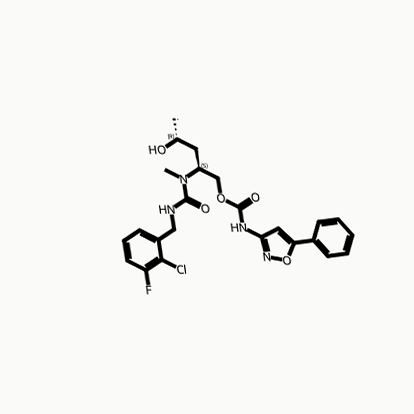 [CH2][C@@H](O)C[C@@H](COC(=O)Nc1cc(-c2ccccc2)on1)N(C)C(=O)NCc1cccc(F)c1Cl